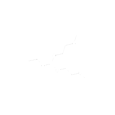 CCOP(OCCOC)OCCOC